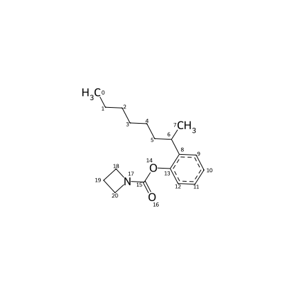 CCCCCCC(C)c1ccccc1OC(=O)N1CCC1